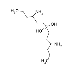 CCCC(N)CC[Si](O)(O)CCC(N)CCC